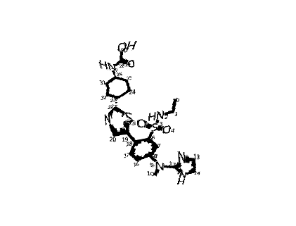 CCNS(=O)(=O)c1cc(N(C)c2ncc[nH]2)ccc1-c1cnc([C@H]2CC[C@H](NC(=O)O)CC2)s1